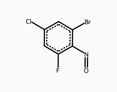 O=Nc1c(F)cc(Cl)cc1Br